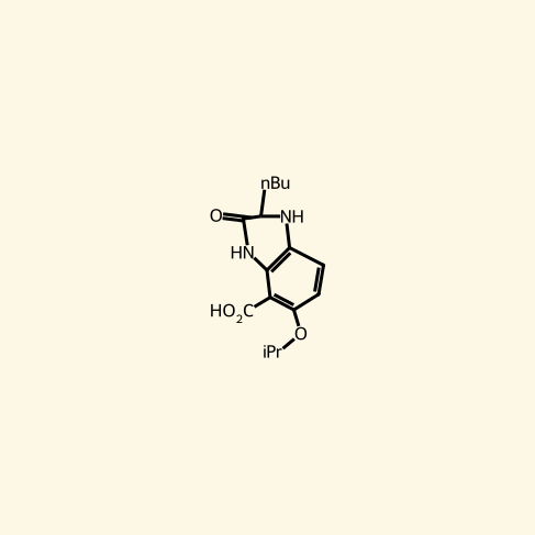 CCCCC1Nc2ccc(OC(C)C)c(C(=O)O)c2NC1=O